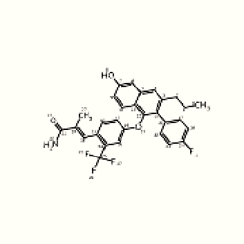 CCCc1cc2cc(O)ccc2c(Oc2ccc(/C=C(\C)C(N)=O)c(C(F)(F)F)c2)c1-c1ccc(F)cc1